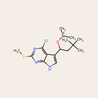 CSc1nc(Cl)c2c(C(CC(C)(C)C)O[SiH](C)C)c[nH]c2n1